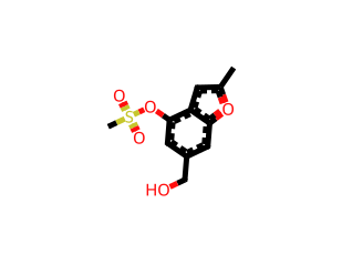 Cc1cc2c(OS(C)(=O)=O)cc(CO)cc2o1